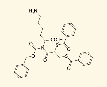 NCCCCC(C(=O)O)N(C(=O)OCc1ccccc1)C(=O)C(CSC(=O)c1ccccc1)SC(=O)c1ccccc1